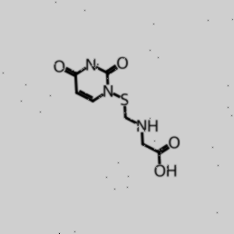 O=C(O)CNCSN1C=CC(=O)[N]C1=O